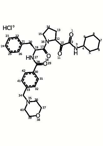 Cl.O=C(NC1CCCCC1)C(=O)C1CCCN1C(=O)[C@H](Cc1ccccc1)NC(=O)c1ccc(CN2CCOCC2)cc1